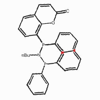 CCCCN(P(c1ccccc1)c1ccccc1)P(c1ccccc1)c1cccc2ccc(=O)oc12